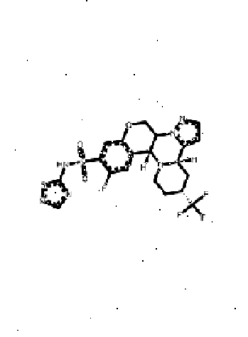 O=S(=O)(Nc1ncns1)c1cc2c(cc1F)[C@@H]1C(CO2)n2nccc2[C@@H]2C[C@H](C(F)(F)F)CCN12